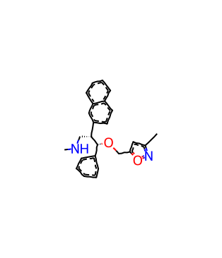 CNC[C@H](c1ccc2ccccc2c1)[C@H](OCc1cc(C)no1)c1ccccc1